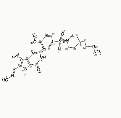 CCCc1c(C=NO)n(C)c2c(=O)[nH]c(-c3cc(S(=O)(=O)N4CCN(CCO[N+](=O)[O-])CC4)ccc3OCC)nc12